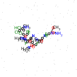 CCN(CC)CCOC(=O)C(c1ccccc1)c1ccccc1.CN(C)CCCC1(c2ccc(F)cc2)OCc2cc(C#N)ccc21.CN(C)CCC[C@@]1(c2ccc(F)cc2)OCc2cc(C#N)ccc21.CNCCC(Oc1ccc(C(F)(F)F)cc1)c1ccccc1.CN[C@H]1CC[C@@H](c2ccc(Cl)c(Cl)c2)c2ccccc21.COCCCC/C(=N\OCCN)c1ccc(C(F)(F)F)cc1.Cl